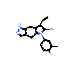 C=Cc1c(C(C)C)n(-c2ccc(F)c(C)c2)c2cc3cn[nH]c3cc12